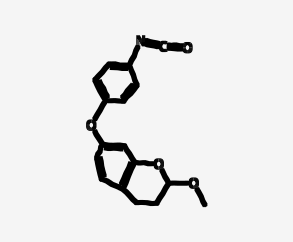 COC1CCc2ccc(Oc3ccc(N=C=O)cc3)cc2O1